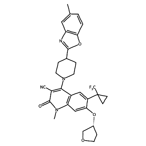 Cc1ccc2oc(C3CCN(c4c(C#N)c(=O)n(C)c5cc(O[C@@H]6CCOC6)c(C6(C(F)(F)F)CC6)cc45)CC3)nc2c1